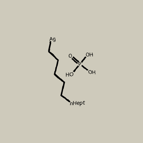 CCCCCCCCCCC[CH2][Ag].O=P(O)(O)O